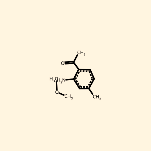 CC(=O)c1ccc(C)cc1N.COC